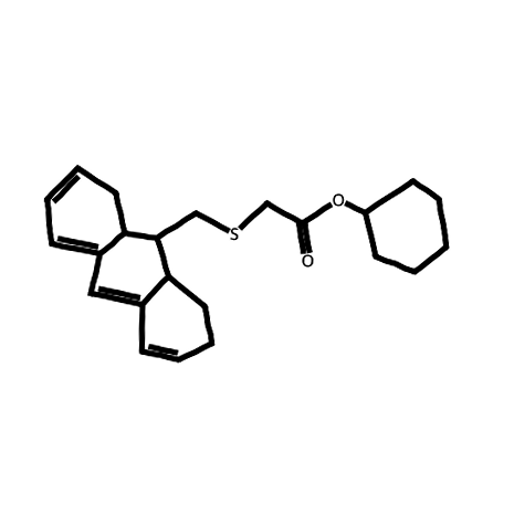 O=C(CSCC1C2CC=CC=C2C=C2C=CCCC21)OC1CCCCC1